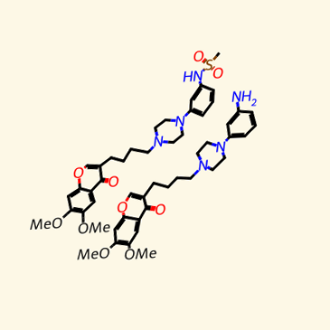 COc1cc2occ(CCCCN3CCN(c4cccc(N)c4)CC3)c(=O)c2cc1OC.COc1cc2occ(CCCCN3CCN(c4cccc(NS(C)(=O)=O)c4)CC3)c(=O)c2cc1OC